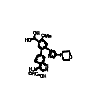 COc1cc(-n2cc(N3CCOCC3)cn2)c(-c2ccc3c(N)cnnc3c2)cc1B(O)O.O=CO